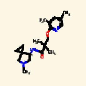 Cc1cnc(OCC(C)(C)C(=O)N[C@H]2CN(C)CC23CC3)c(C(F)(F)F)c1